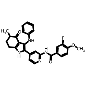 COc1ccc(C(=O)Nc2cc(-c3[nH]c4c(c3Nc3ccccc3)C(=O)C(C)CC4)ccn2)cc1F